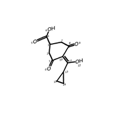 O=C1CC(C(=O)O)CC(=O)C1=C(O)C1CC1